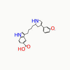 COc1cccc(C2=CCNC(CCCCc3c[nH]c4ccc(C(=O)O)cc34)C2)c1